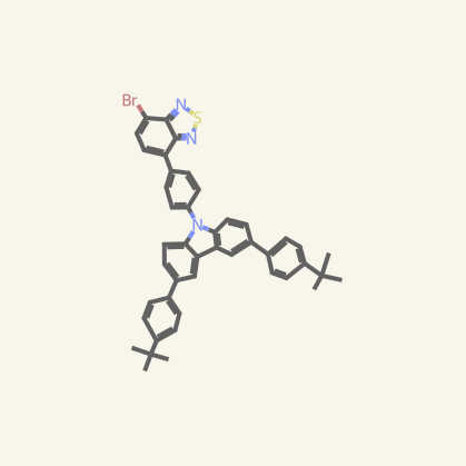 CC(C)(C)c1ccc(-c2ccc3c(c2)c2cc(-c4ccc(C(C)(C)C)cc4)ccc2n3-c2ccc(-c3ccc(Br)c4nsnc34)cc2)cc1